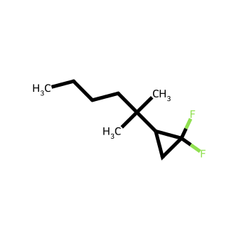 CCCCC(C)(C)C1CC1(F)F